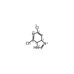 ClC1=CC2N=CNC2C(Cl)=N1